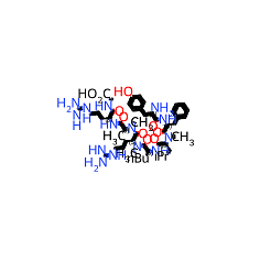 CCCC[C@H](NC(=O)[C@H](CC(C)C)N(C)C(=O)[C@H](Cc1ccccc1)NC(=O)[C@@H](N)Cc1ccc(O)cc1)C(=O)N(C)[C@@H](CCCNC(=N)N)C(=O)N(C)[C@@H](C)C(=O)N[C@@H](CCCNC(=N)N)C(=O)NCC(=O)O